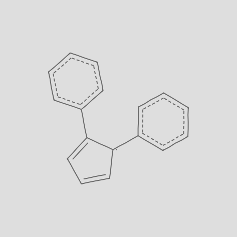 C1=C[C](c2ccccc2)C(c2ccccc2)=C1